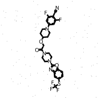 N#Cc1c(F)cc(N2CCC(OCC(=O)N3CCN(c4nc5cc(SC(F)(F)F)ccc5o4)CC3)CC2)cc1F